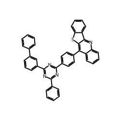 c1ccc(-c2cccc(-c3nc(-c4ccccc4)nc(-c4ccc(-c5c6ccccc6nc6c5sc5ccccc56)cc4)n3)c2)cc1